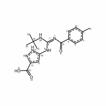 Cc1ccc(C(=O)/N=C(\Nc2cc(C(=O)O)n[nH]2)NC(C)(C)C)cc1